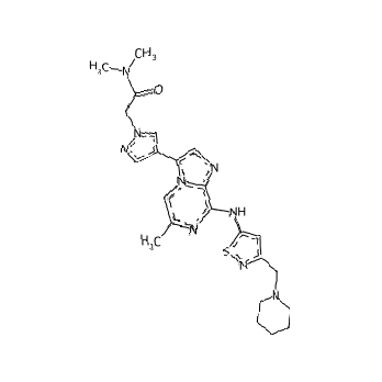 Cc1cn2c(-c3cnn(CC(=O)N(C)C)c3)cnc2c(Nc2cc(CN3CCCCC3)ns2)n1